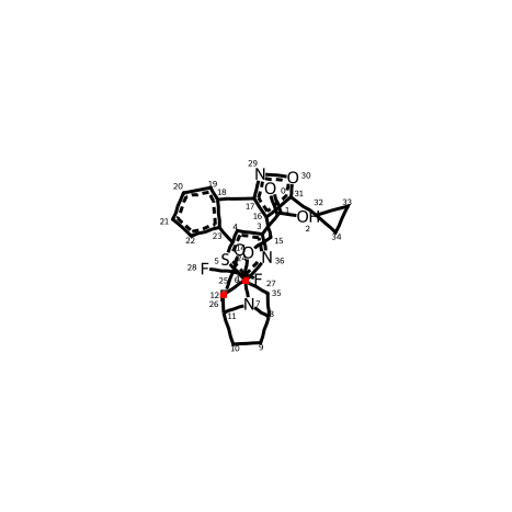 O=C(O)c1csc(N2C3CCC2CC(OCc2c(-c4ccccc4OC(F)(F)F)noc2C2CC2)C3)n1